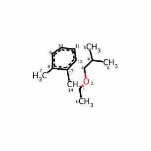 CCOCC(C)C.Cc1ccccc1C